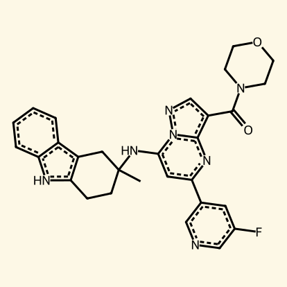 CC1(Nc2cc(-c3cncc(F)c3)nc3c(C(=O)N4CCOCC4)cnn23)CCc2[nH]c3ccccc3c2C1